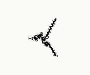 CCCCCCCCCCCCCOCCC(CC(C)N1CC(OC(=O)O)CC1=O)Oc1ccc(CCCCCCCCC)cc1